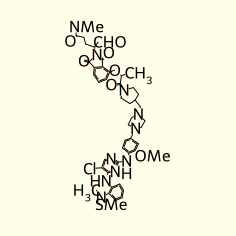 CNC(=O)CCC(C=O)N1C(=O)c2cccc(OC(C)C(=O)N3CCC(CN4CCN(c5ccc(Nc6ncc(Cl)c(Nc7ccccc7N(C)SC)n6)c(OC)c5)CC4)CC3)c2C1=O